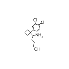 NC(CCCO)C1(c2ccc(Cl)c(Cl)c2)CCC1